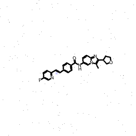 Cc1c(C2CCOC2)nc2ccc(NC(=O)c3ccc(/C=C/c4ccc(F)cn4)cc3)cn12